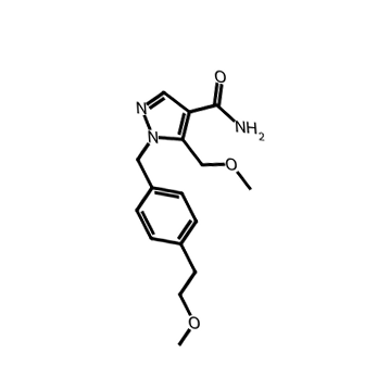 COCCc1ccc(Cn2ncc(C(N)=O)c2COC)cc1